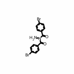 NN(C(=O)c1ccc(Br)cc1)C(=O)c1ccc(Br)cc1